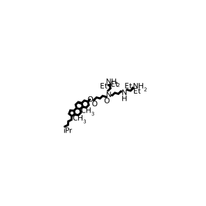 CCC(N)(CC)CCNCCCCN(CCC(N)(CC)CC)C(=O)CCCC(=O)OC1CCC2(C)C(=CCC3C2CCC2(C)C(CCCCC(C)C)CCC32)C1